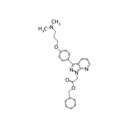 CN(C)CCCOc1ccc(-c2nn(CC(=O)OCc3ccccc3)c3ncccc23)cc1